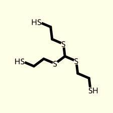 SCCSC(SCCS)SCCS